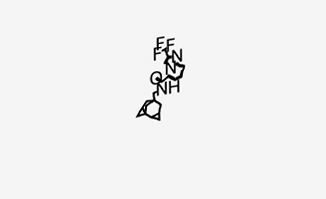 O=C(NCC12CC3CC3C3(CC3C1)C2)c1cccc2nc(C(F)(F)F)cn12